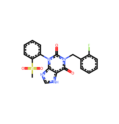 CS(=O)(=O)c1ccccc1-n1c(=O)n(Cc2ccccc2F)c(=O)c2[nH]cnc21